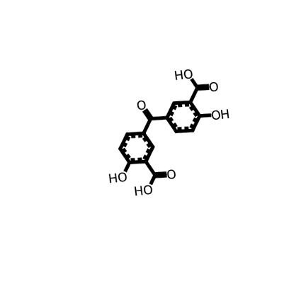 O=C(c1ccc(O)c(C(=O)O)c1)c1ccc(O)c(C(=O)O)c1